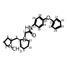 CN1CCCC1C[C@@H]1CCCCN1CC(=O)Nc1ccc(Oc2ccccc2)cc1